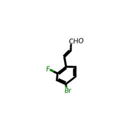 O=CC=Cc1ccc(Br)cc1F